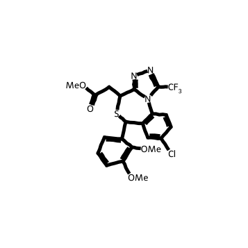 COC(=O)CC1SC(c2cccc(OC)c2OC)c2cc(Cl)ccc2-n2c1nnc2C(F)(F)F